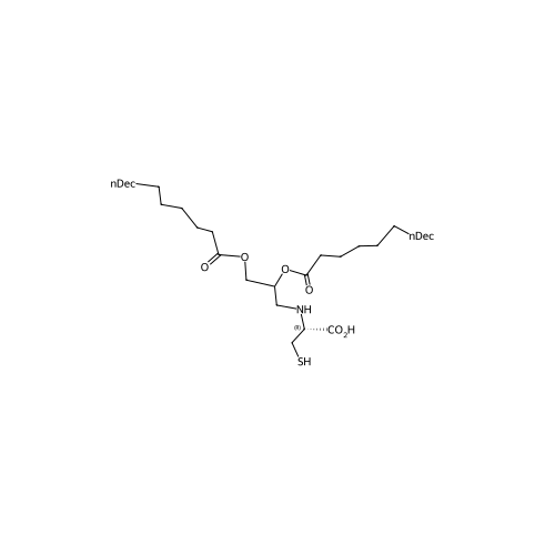 CCCCCCCCCCCCCCCC(=O)OCC(CN[C@@H](CS)C(=O)O)OC(=O)CCCCCCCCCCCCCCC